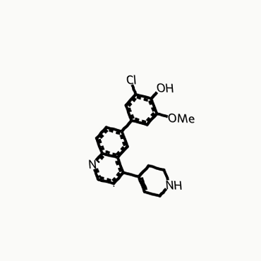 COc1cc(-c2ccc3nc[c]c(C4=CCNCC4)c3c2)cc(Cl)c1O